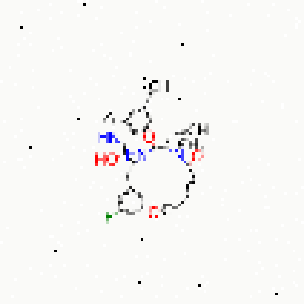 C#CCC1C(=O)NC(C(O)CNC2(c3cccc(C#C)c3)CC2)Cc2cc(F)cc(c2)OCCCCCC(=O)N1C